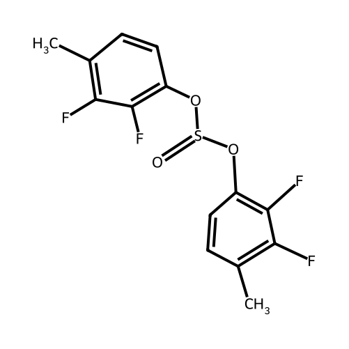 Cc1ccc(OS(=O)Oc2ccc(C)c(F)c2F)c(F)c1F